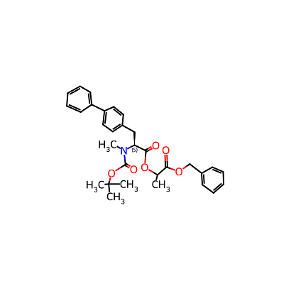 CC(OC(=O)[C@H](Cc1ccc(-c2ccccc2)cc1)N(C)C(=O)OC(C)(C)C)C(=O)OCc1ccccc1